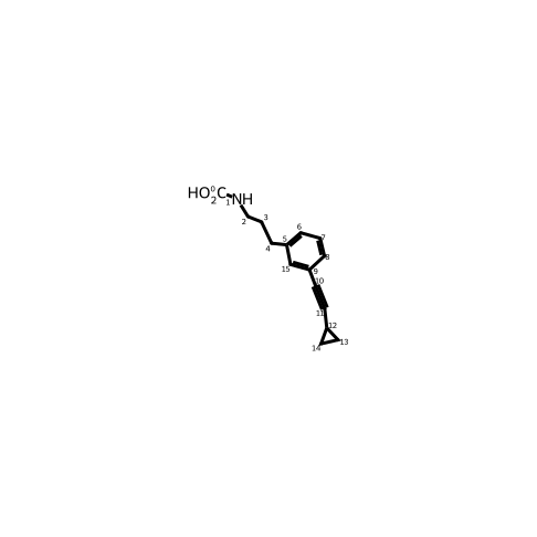 O=C(O)NCCCc1cccc(C#CC2CC2)c1